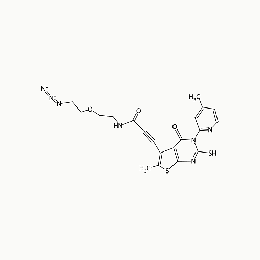 Cc1ccnc(-n2c(S)nc3sc(C)c(C#CC(=O)NCCOCCN=[N+]=[N-])c3c2=O)c1